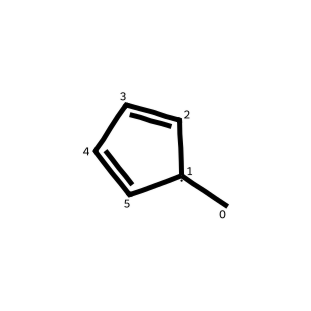 C[C]1C=CC=C1